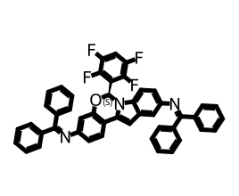 Fc1cc(F)c(F)c([C@@H]2Oc3cc(N=C(c4ccccc4)c4ccccc4)ccc3-c3cc4cc(N=C(c5ccccc5)c5ccccc5)ccc4n32)c1F